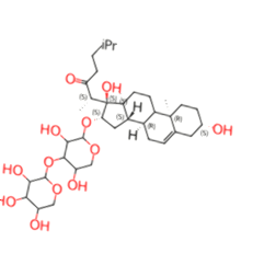 CC(C)CCC(=O)[C@@H](C)[C@@]1(O)[C@@H](OC2OCC(O)C(OC3OCC(O)C(O)C3O)C2O)C[C@H]2[C@@H]3CC=C4C[C@@H](O)CC[C@]4(C)C3CC[C@@]21C